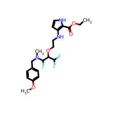 CCOC(=O)c1[nH]ccc1NCCOC(C(F)F)C(F)N(C)Cc1ccc(OC)cc1